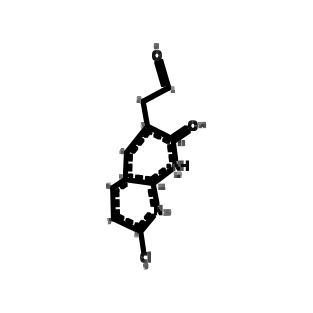 O=CCc1cc2ccc(Cl)nc2[nH]c1=O